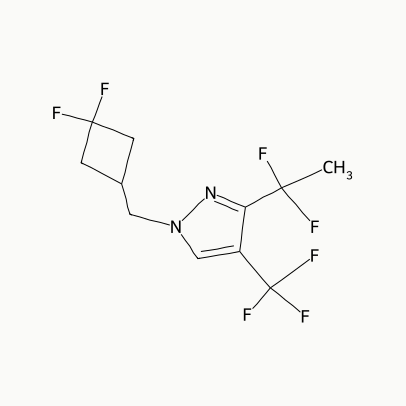 CC(F)(F)c1nn(CC2CC(F)(F)C2)cc1C(F)(F)F